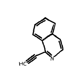 C#Cc1nccc2ccccc12